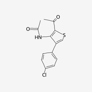 CC(=O)Nc1c(-c2ccc(Cl)cc2)csc1C(C)=O